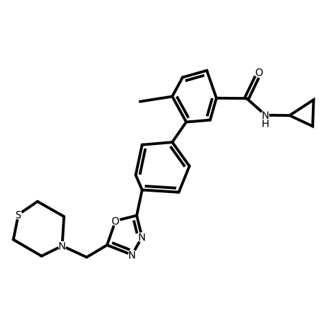 Cc1ccc(C(=O)NC2CC2)cc1-c1ccc(-c2nnc(CN3CCSCC3)o2)cc1